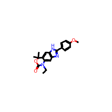 CCN1C(=O)OC(C)(C)c2cc3[nH]c(-c4ccc(OC)cc4)nc3cc21